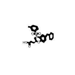 Cc1cccc(S(=O)(=O)N2C[C@H](CCC(=O)O)Oc3ccc(CC4CCCCC4)cc32)c1